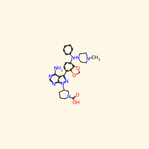 CN1CCN(N(c2ccccc2)c2ccc(-c3nn(C4CCCN(C(=O)O)C4)c4ncnc(N)c34)c3c2OCO3)CC1